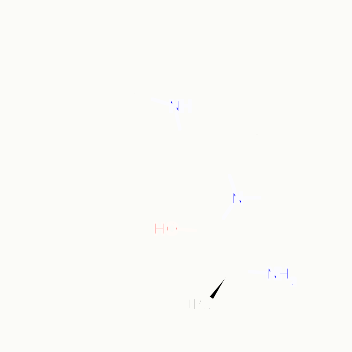 CC(C)(C)[C@H](N)C(O)N1CCC[C@H]1CNC1CCCCC1